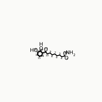 NOC(=O)CCCCCCCC(=O)c1cccc(O)c1O